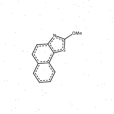 COc1nc2ccc3ccccc3c2s1